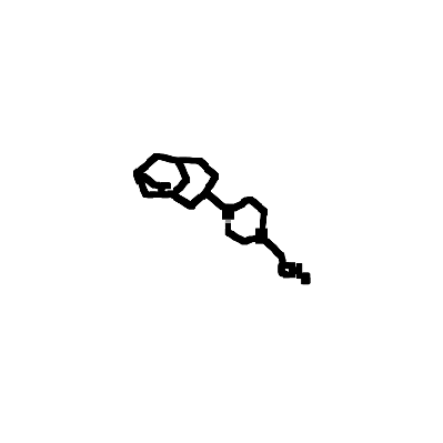 CCN1CCN(C2CCC3CC4CC(C3)C2C4)CC1